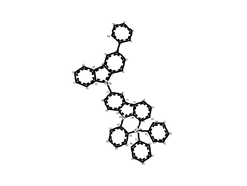 c1ccc(-c2ccc3c(c2)c2ccccc2n3-c2ccc3c(c2)c2cccc4c2n3-c2ccccc2[Si]4(c2ccccc2)c2ccccc2)cc1